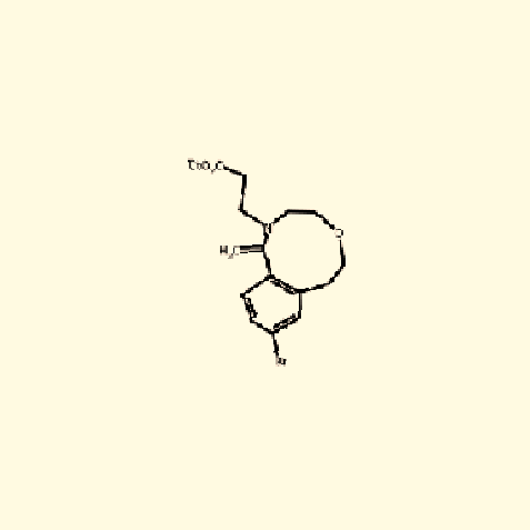 C=C1c2ccc(Br)cc2CCOCCN1CCC(=O)OCC